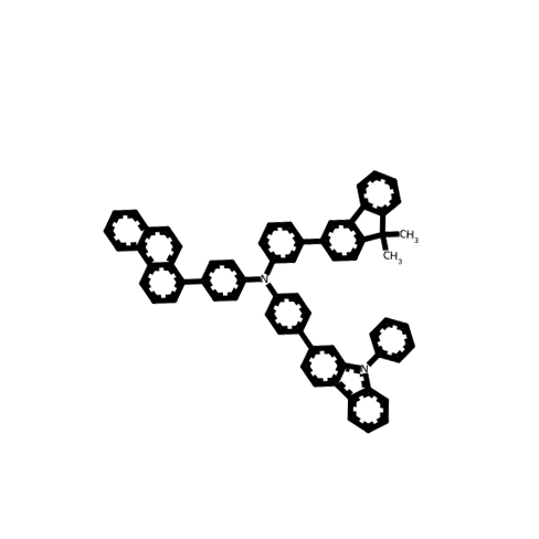 CC1(C)c2ccccc2-c2cc(-c3cccc(N(c4ccc(-c5ccc6c7ccccc7n(-c7ccccc7)c6c5)cc4)c4ccc(-c5cccc6c5ccc5ccccc56)cc4)c3)ccc21